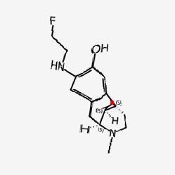 CN1CC[C@@]23CCCC[C@@H]2[C@@H]1Cc1cc(NCCF)c(O)cc13